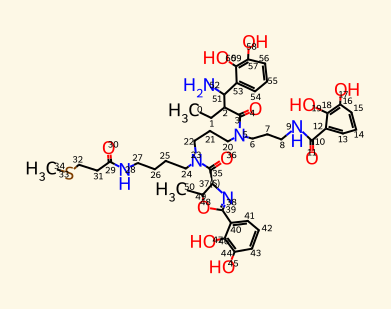 CCC(C(=O)N(CCCNC(=O)c1cccc(O)c1O)CCCN(CCCCNC(=O)CCSC)C(=O)[C@H]1N=C(c2cccc(O)c2O)OC1C)C(N)c1cccc(O)c1O